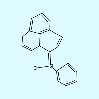 Cl[Si](=C1C=Cc2cccc3c2C1C=CC3)c1ccccc1